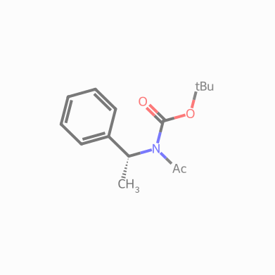 CC(=O)N(C(=O)OC(C)(C)C)[C@H](C)c1ccccc1